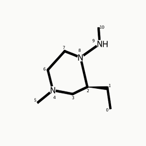 CC[C@H]1CN(C)CCN1NC